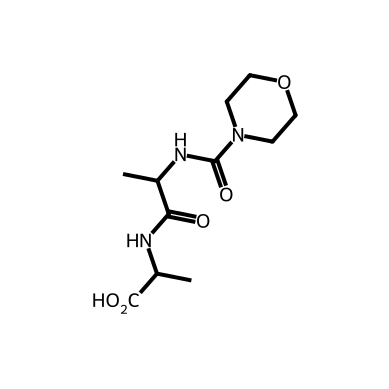 CC(NC(=O)C(C)NC(=O)N1CCOCC1)C(=O)O